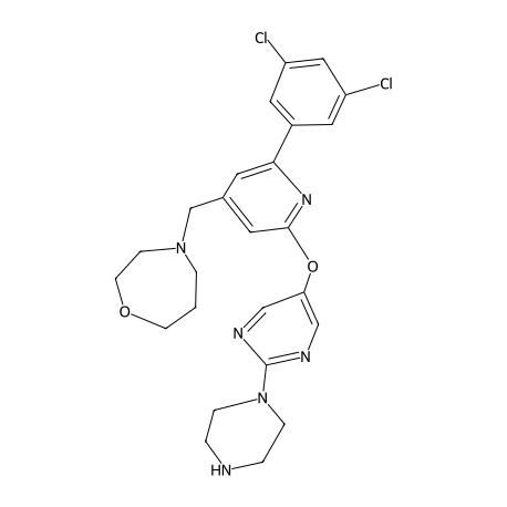 Clc1cc(Cl)cc(-c2cc(CN3CCCOCC3)cc(Oc3cnc(N4CCNCC4)nc3)n2)c1